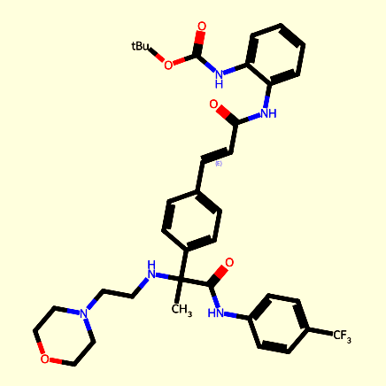 CC(C)(C)OC(=O)Nc1ccccc1NC(=O)/C=C/c1ccc(C(C)(NCCN2CCOCC2)C(=O)Nc2ccc(C(F)(F)F)cc2)cc1